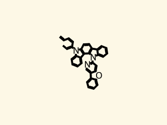 C=C/C=C\C(=C/C)n1c2ccccc2c2c1ccc1c3ccccc3n(-c3cc4oc5ccccc5c4cn3)c12